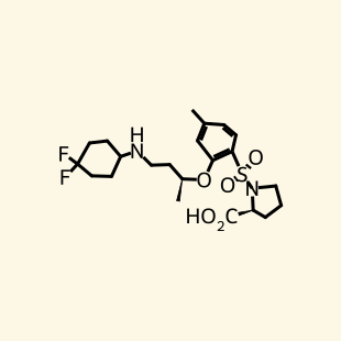 Cc1ccc(S(=O)(=O)N2CCC[C@H]2C(=O)O)c(O[C@@H](C)CCNC2CCC(F)(F)CC2)c1